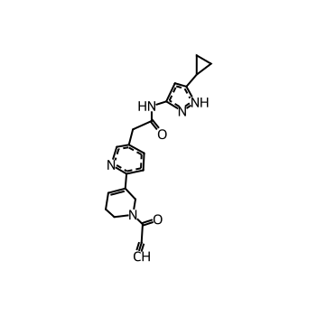 C#CC(=O)N1CCC=C(c2ccc(CC(=O)Nc3cc(C4CC4)[nH]n3)cn2)C1